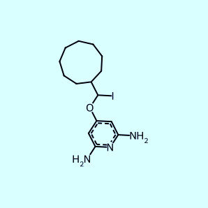 Nc1cc(OC(I)C2CCCCCCCC2)cc(N)n1